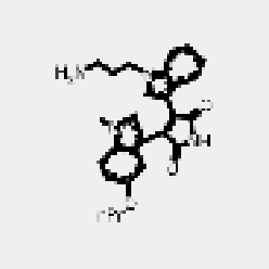 CCCOc1ccc2c(c1)c(C1=C(c3cn(CCCN)c4ccccc34)C(=O)NC1=O)cn2C